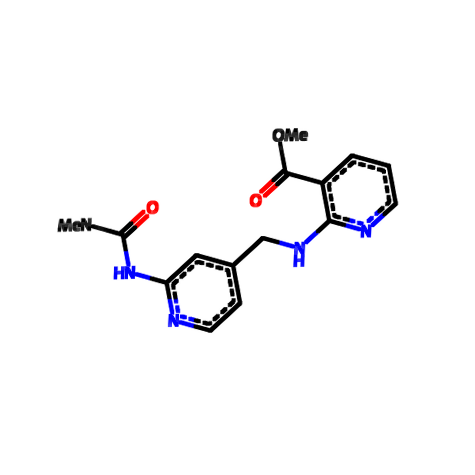 CNC(=O)Nc1cc(CNc2ncccc2C(=O)OC)ccn1